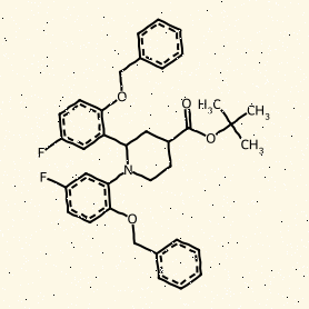 CC(C)(C)OC(=O)C1CCN(c2cc(F)ccc2OCc2ccccc2)C(c2cc(F)ccc2OCc2ccccc2)C1